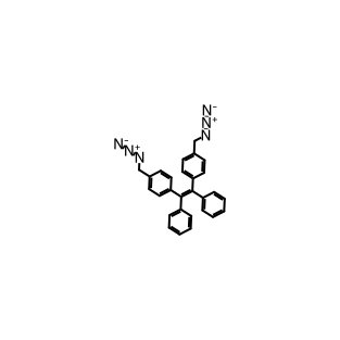 [N-]=[N+]=NCc1ccc(C(=C(c2ccccc2)c2ccc(CN=[N+]=[N-])cc2)c2ccccc2)cc1